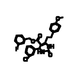 COc1ccc(CCC2=C(C(=O)OCc3cccc(F)c3)C(c3cccc(Cl)c3)NC(=O)N2)cc1